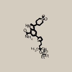 CC[Si](CC)(CC)OC(C)(C)CCc1ccc(-c2cc(C(N)=O)c3[nH]cc(C4CCS(=O)(=O)CC4)c3c2)s1